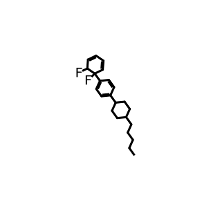 CCCCCC1CCC(c2ccc(C3(F)C=CC=CC3F)cc2)CC1